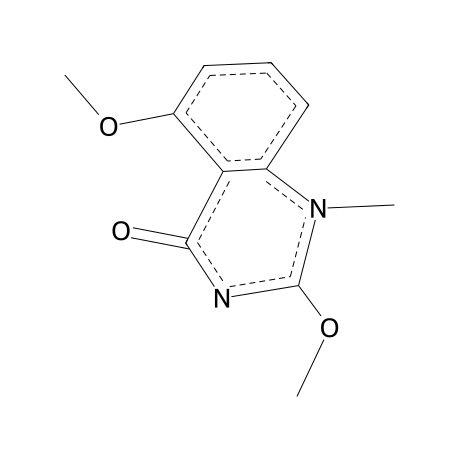 COc1cccc2c1c(=O)nc(OC)n2C